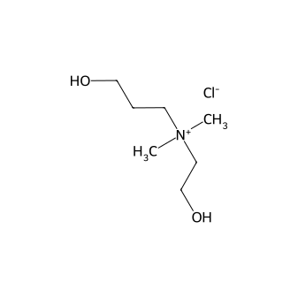 C[N+](C)(CCO)CCCO.[Cl-]